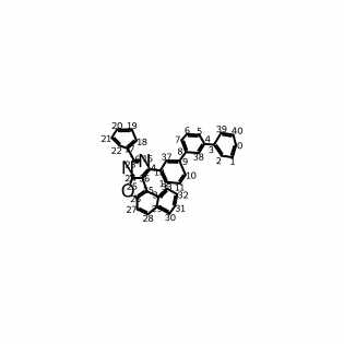 c1ccc(-c2cccc(-c3cccc(-c4nc(-c5ccccc5)nc5oc6ccc7ccccc7c6c45)c3)c2)cc1